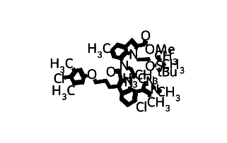 COC(=O)c1cc2cc(C)cc(N3C[C@@H](C)n4c(c(CCCOc5cc(C)c(Cl)c(C)c5)c5ccc(Cl)c(-c6c(C)nn(C)c6C)c54)C3=O)c2n1CCO[Si](C)(C)C(C)(C)C